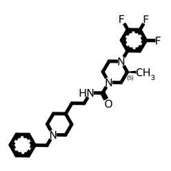 C[C@H]1CN(C(=O)NCCC2CCN(Cc3ccccc3)CC2)CCN1c1cc(F)c(F)c(F)c1